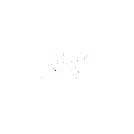 COc1cccc(C(C)CC(=O)N2CCc3c(F)ccc(-c4cc(CC(=O)O)ccc4OC)c3C2)n1.Cl